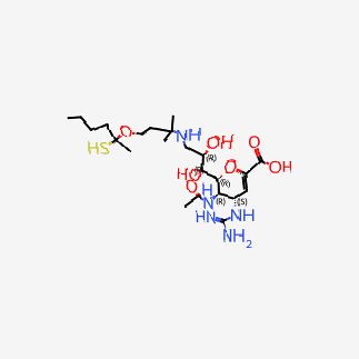 CCCCC(C)(S)OCCC(C)(C)NC[C@@H](O)[C@@H](O)[C@@H]1OC(C(=O)O)=C[C@H](NC(=N)N)[C@H]1NC(C)=O